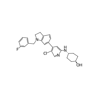 O[C@H]1CC[C@H](Nc2cc(-c3ccc4c(c3)N(Cc3cccc(F)c3)CC4)c(Cl)cn2)CC1